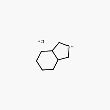 C1CCC2CNCC2C1.Cl